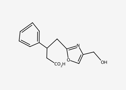 O=C(O)CC(Cc1nc(CO)co1)c1ccccc1